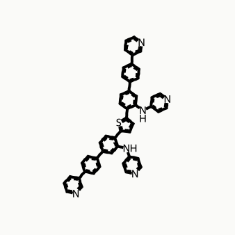 c1cncc(-c2ccc(-c3ccc(-c4ccc(-c5ccc(-c6ccc(-c7cccnc7)cc6)cc5Nc5ccncc5)s4)c(Nc4ccncc4)c3)cc2)c1